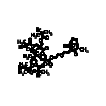 C[C@@H]1C(=O)N(CCOCCOC(=O)C(C)(COC(=O)C(C)(COC(=O)C(C)(C)Br)COC(=O)C(C)(C)Br)COC(=O)C(C)(COC(=O)C(C)(C)Br)COC(=O)C(C)(C)Br)C(=O)C2C=CC1O2